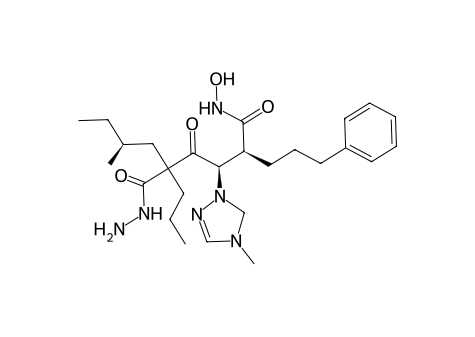 CCCC(C[C@@H](C)CC)(C(=O)NN)C(=O)[C@@H]([C@H](CCCc1ccccc1)C(=O)NO)N1CN(C)C=N1